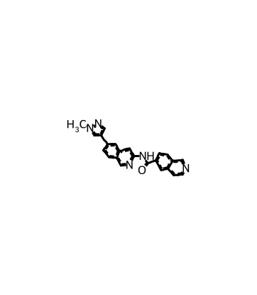 Cn1cc(-c2ccc3cnc(NC(=O)c4ccc5cnccc5c4)cc3c2)cn1